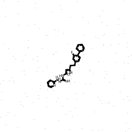 N=C(NNc1ccccn1)Nc1cc(CCc2ccc(-c3ccccc3)c(F)c2)no1